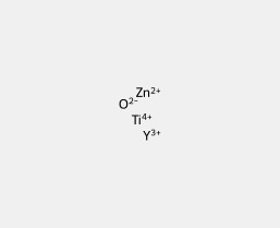 [O-2].[Ti+4].[Y+3].[Zn+2]